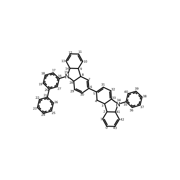 C1=CC2C3CC(C4=CC5C6C=CC=CC6N(c6cccc(-c7ccccc7)c6)C5C=C4)=CC=C3N(c3ccccc3)C2C=C1